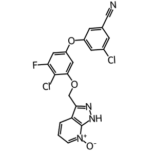 N#Cc1cc(Cl)cc(Oc2cc(F)c(Cl)c(OCc3n[nH]c4c3ccc[n+]4[O-])c2)c1